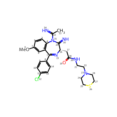 COc1ccc2c(c1)C(c1ccc(Cl)cc1)=N[C@@H](CC(=O)NCCN1CCSCC1)C(=N)N2C(C)=N